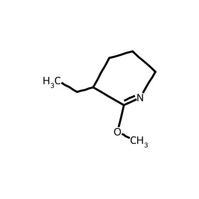 CCC1CCCN=C1OC